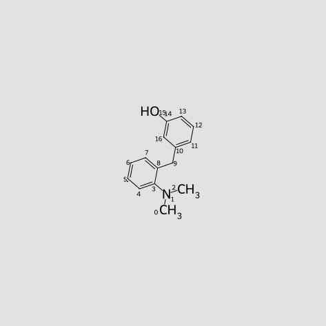 CN(C)c1c[c]ccc1Cc1cccc(O)c1